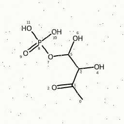 CC(=O)C(O)C(O)OP(=O)(O)O